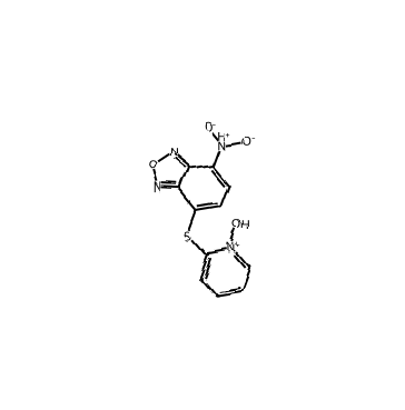 [O-][NH+]([O-])c1ccc(Sc2cccc[n+]2O)c2nonc12